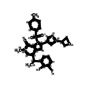 Cc1ccc(S(=O)(=O)n2c(-c3cnn(C4COC4)c3)cc3c(C(C)c4cccc(F)c4F)cn(C)c(=O)c32)cc1